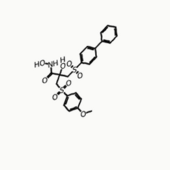 COc1ccc(S(=O)(=O)CC(O)(CS(=O)(=O)c2ccc(-c3ccccc3)cc2)C(=O)NO)cc1